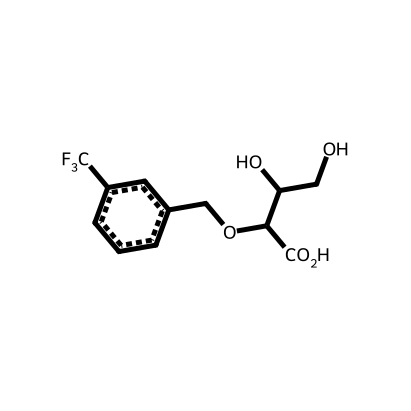 O=C(O)C(OCc1cccc(C(F)(F)F)c1)C(O)CO